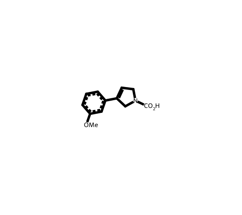 COc1cccc(C2=CCN(C(=O)O)C2)c1